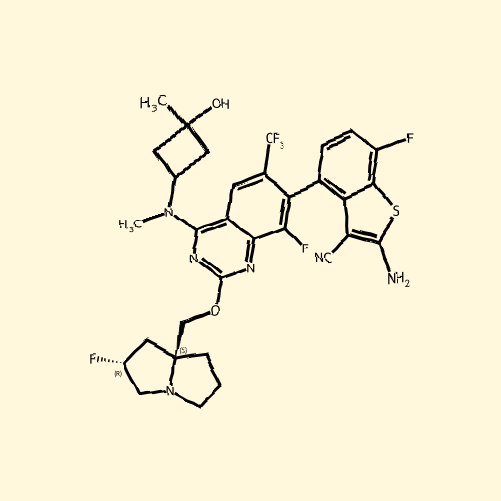 CN(c1nc(OC[C@@]23CCCN2C[C@H](F)C3)nc2c(F)c(-c3ccc(F)c4sc(N)c(C#N)c34)c(C(F)(F)F)cc12)C1CC(C)(O)C1